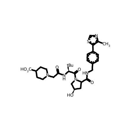 Cc1ncsc1-c1ccc(CNC(=O)C2C[C@@H](O)CN2C(=O)[C@@H](NC(=O)CN2CCC(C(=O)O)CC2)C(C)(C)C)cc1